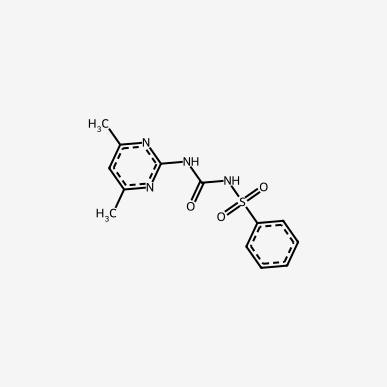 Cc1cc(C)nc(NC(=O)NS(=O)(=O)c2ccccc2)n1